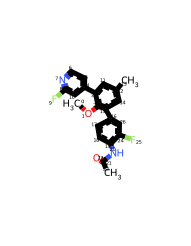 COc1c(-c2ccnc(F)c2)cc(C)cc1-c1ccc(NC(C)=O)c(F)c1